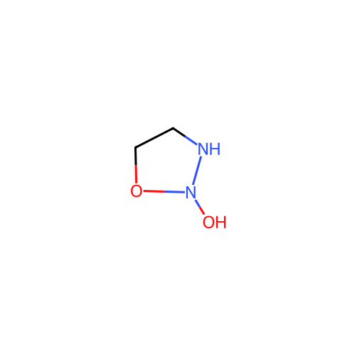 ON1NCCO1